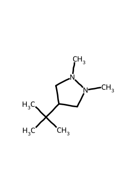 CN1CC(C(C)(C)C)CN1C